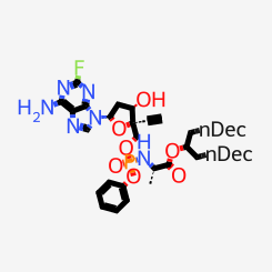 C#C[C@]1(COP(=O)(N[C@@H](C)C(=O)OC(CCCCCCCCCCC)CCCCCCCCCCC)Oc2ccccc2)O[C@@H](n2cnc3c(N)nc(F)nc32)C[C@@H]1O